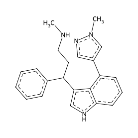 CNCCC(c1ccccc1)c1c[nH]c2cccc(-c3cnn(C)c3)c12